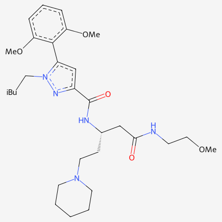 CCC(C)Cn1nc(C(=O)N[C@@H](CCN2CCCCC2)CC(=O)NCCOC)cc1-c1c(OC)cccc1OC